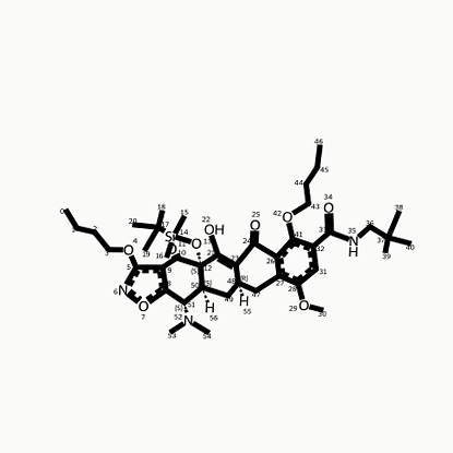 CCCCOc1noc2c1C(=O)[C@@]1(O[Si](C)(C)C(C)(C)C)C(O)=C3C(=O)c4c(c(OC)cc(C(=O)NCC(C)(C)C)c4OCCCC)C[C@H]3C[C@H]1[C@@H]2N(C)C